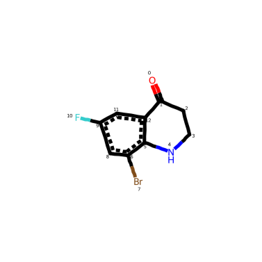 O=C1CCNc2c(Br)cc(F)cc21